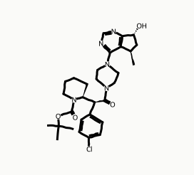 C[C@@H]1C[C@@H](O)c2ncnc(N3CCN(C(=O)[C@@H](c4ccc(Cl)cc4)[C@@H]4CCCCN4C(=O)OC(C)(C)C)CC3)c21